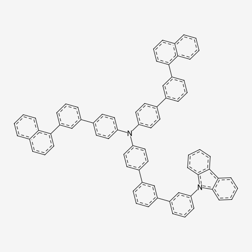 c1cc(-c2ccc(N(c3ccc(-c4cccc(-c5cccc6ccccc56)c4)cc3)c3ccc(-c4cccc(-c5cccc6ccccc56)c4)cc3)cc2)cc(-c2cccc(-n3c4ccccc4c4ccccc43)c2)c1